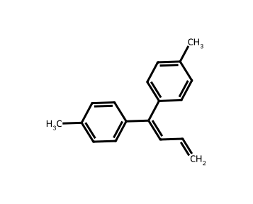 C=CC=C(c1ccc(C)cc1)c1ccc(C)cc1